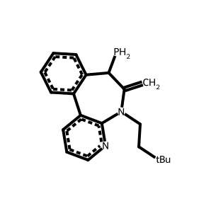 C=C1C(P)c2ccccc2-c2cccnc2N1CCC(C)(C)C